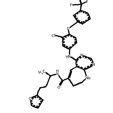 CC(CCc1ccco1)NC(=O)C1=Cc2c(ncnc2Nc2ccc(Oc3cccc(C(F)(F)F)c3)c(Cl)c2)NCC1